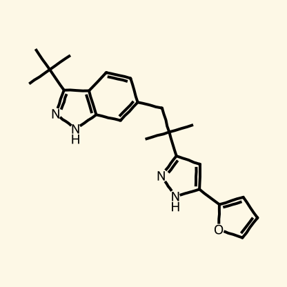 CC(C)(C)c1n[nH]c2cc(CC(C)(C)c3cc(-c4ccco4)[nH]n3)ccc12